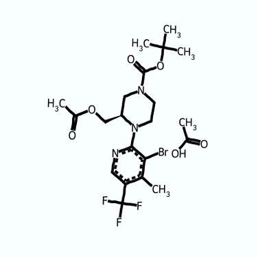 CC(=O)O.CC(=O)OC[C@H]1CN(C(=O)OC(C)(C)C)CCN1c1ncc(C(F)(F)F)c(C)c1Br